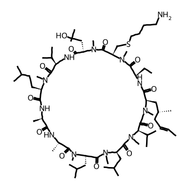 C/C=C/C[C@@H](C)C[C@@H]1C(=O)N[C@H](CC)C(=O)N(C)[C@H](CSCCCCN)C(=O)N(C)[C@@H](CC(C)(C)O)C(=O)N[C@H](C(C)C)C(=O)N(C)[C@H](CCC(C)C)C(=O)N[C@H](C)C(=O)N[C@@H](C)C(=O)N(C)[C@@H](CC(C)C)C(=O)N(C)[C@H](CC(C)C)C(=O)N(C)[C@H](C(C)C)C(=O)N1C